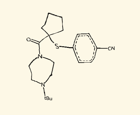 CC(C)(C)N1CCN(C(=O)C2(Sc3ccc(C#N)cc3)CCCC2)CC1